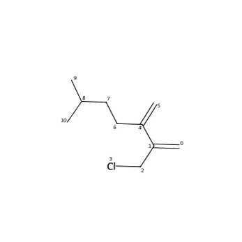 C=C(CCl)C(=C)CCC(C)C